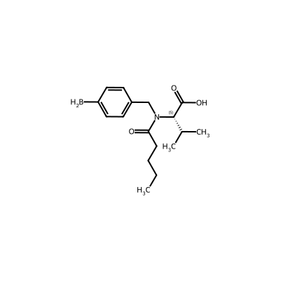 Bc1ccc(CN(C(=O)CCCC)[C@H](C(=O)O)C(C)C)cc1